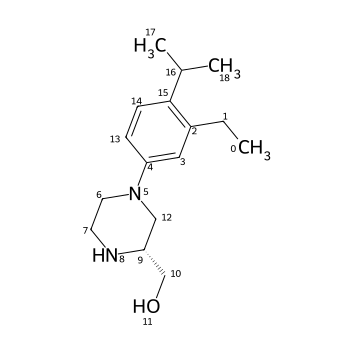 CCc1cc(N2CCN[C@@H](CO)C2)ccc1C(C)C